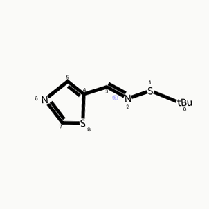 CC(C)(C)S/N=C/c1cncs1